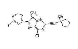 Cn1c(-c2cccc(F)c2)nc2c(Cl)nc(C#CC3(O)CCCC3)nc21